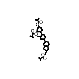 C=C(C)C(=O)OCC1Cc2ccc(-c3ccc(-c4ccc(OC(=O)C(=C)C)cc4OC(=O)C(=C)C)c(C)c3)cc2C1